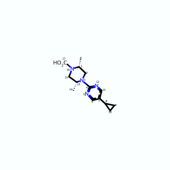 C[C@@H]1CN(c2ncc(C3CC3)cn2)[C@H](C)CN1C(=O)O